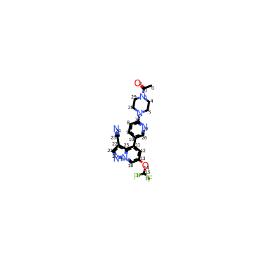 CC(=O)N1CCN(c2ccc(-c3cc(OC(F)F)cn4ncc(C#N)c34)cn2)CC1